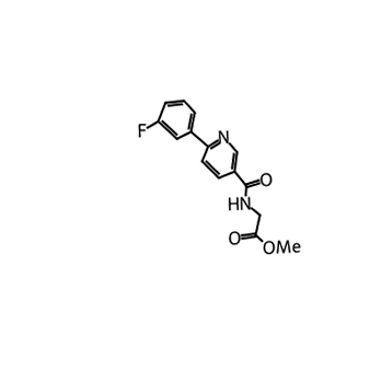 COC(=O)CNC(=O)c1ccc(-c2cccc(F)c2)nc1